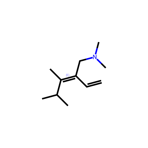 C=C/C(CN(C)C)=C(/C)C(C)C